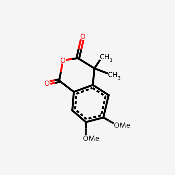 COc1cc2c(cc1OC)C(C)(C)C(=O)OC2=O